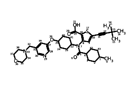 CC1CCC(C(=O)N(c2cc(C#CC(C)(C)C)sc2C(=O)O)C2CCC(Oc3cncc(CN4CCOCC4)c3)CC2)CC1